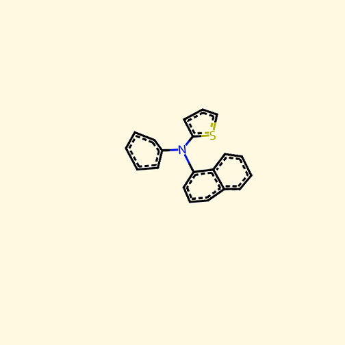 c1ccc(N(c2cccs2)c2cccc3ccccc23)cc1